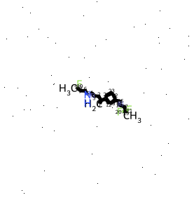 C=C(C/C=C/NCC[C@H](C)F)C1=CC=C(/C=C/CC(C)(F)F)CC=C1